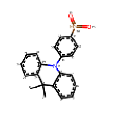 CC1(C)c2ccccc2N(c2ccc([SH](=O)=O)cc2)c2ccccc21